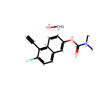 C#Cc1c(F)ccc2cc(OC(=O)N(C)C)ccc12.O=CO